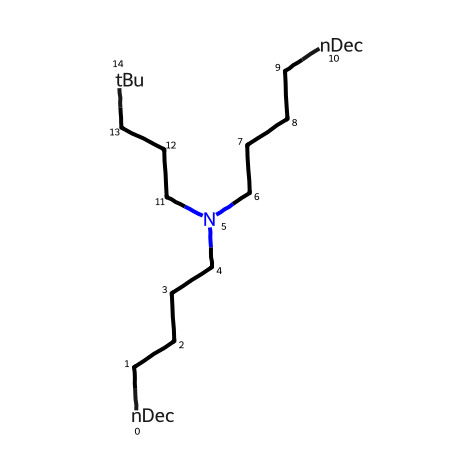 CCCCCCCCCCCCCCN(CCCCCCCCCCCCCC)CCCC(C)(C)C